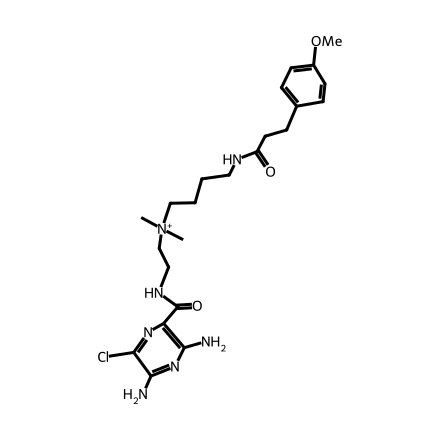 COc1ccc(CCC(=O)NCCCC[N+](C)(C)CCNC(=O)c2nc(Cl)c(N)nc2N)cc1